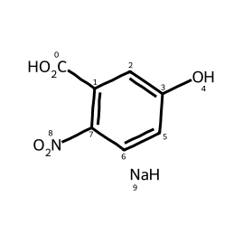 O=C(O)c1cc(O)ccc1[N+](=O)[O-].[NaH]